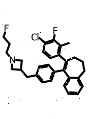 Cc1c(C2=C(c3ccc(CC4CN(CCCF)C4)cc3)c3ccccc3CCC2)ccc(Cl)c1F